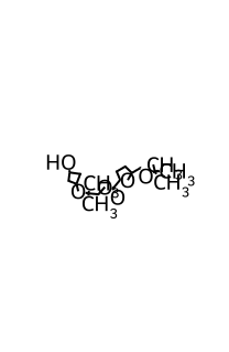 CC(C)(C)OCC1CCC(C(=O)OCC(C)(C)OC2CC(O)C2)O1